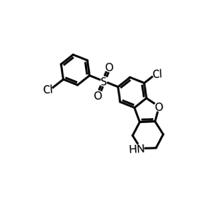 O=S(=O)(c1cccc(Cl)c1)c1cc(Cl)c2oc3c(c2c1)CNCC3